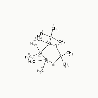 CCC(C)(C)[Si]1(C)OC(C)(C)C[Si](C)(C)[Si]1(C)C